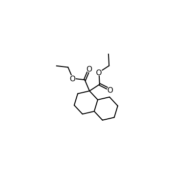 CCOC(=O)C1(C(=O)OCC)CCCC2CCCCC21